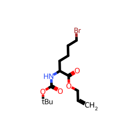 C=CCOC(=O)C(CCCCBr)NC(=O)OC(C)(C)C